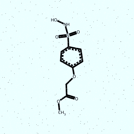 COC(=O)COc1ccc(S(=O)(=O)NO)cc1